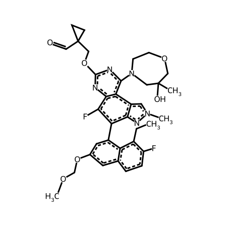 CCc1c(F)ccc2cc(OCOC)cc(-c3c(F)c4nc(OCC5(C=O)CC5)nc(N5CCOCC(C)(O)C5)c4c4cn(C)nc34)c12